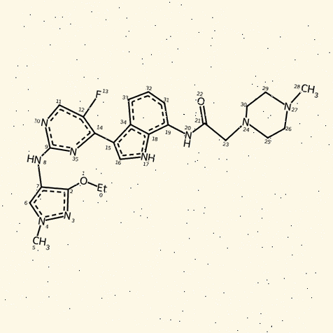 CCOc1nn(C)cc1Nc1ncc(F)c(-c2c[nH]c3c(NC(=O)CN4CCN(C)CC4)cccc23)n1